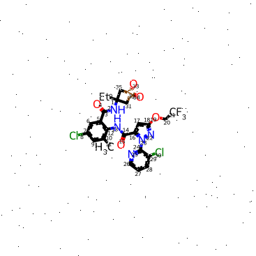 CCC1(NC(=O)c2cc(Cl)cc(C)c2NC(=O)c2cc(OCC(F)(F)F)nn2-c2ncccc2Cl)CS(=O)(=O)C1